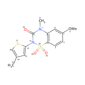 COc1ccc2c(c1)N(C)C(=O)N(c1cc(C)cs1)S2(=O)=O